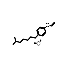 C=COc1ccc(CCCCCC(C)C)cc1.COC